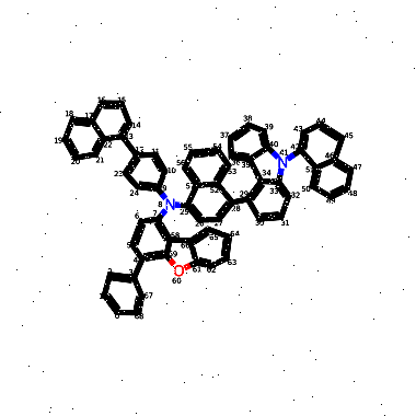 c1ccc(-c2ccc(N(c3ccc(-c4cccc5ccccc45)cc3)c3ccc(-c4cccc5c4c4ccccc4n5-c4cccc5ccccc45)c4ccccc34)c3c2oc2ccccc23)cc1